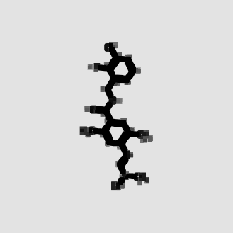 CCN(C)/C=N/c1cc(C)c(C(=O)OCc2cccc(Cl)c2F)cc1C